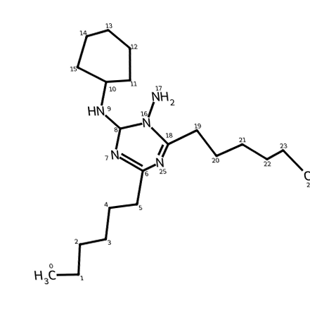 CCCCCCC1=NC(NC2CCCCC2)N(N)C(CCCCCC)=N1